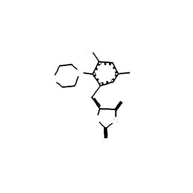 O=C1NC(=O)/C(=C\c2cc(C(F)(F)F)cc(Cl)c2N2CCOCC2)S1